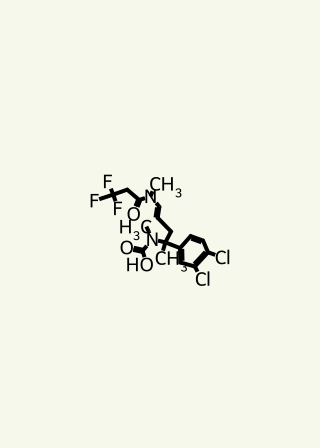 CN(C=CCC(C)(c1ccc(Cl)c(Cl)c1)N(C)C(=O)O)C(=O)CC(F)(F)F